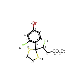 CCOC(=O)CC(F)C1(c2ccc(Br)cc2F)SCCS1